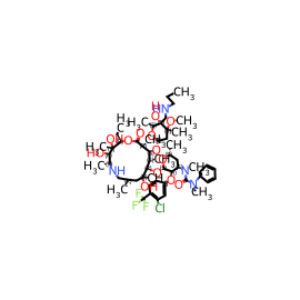 CCCNC[C@]1(O)[C@H](C)O[C@@H](O[C@H]2[C@H](C)[C@@H](O[C@@H]3O[C@H](C)C[C@H](N(C)C(=O)N(C)c4ccccc4)[C@H]3Oc3ccc(C(F)(F)F)c(Cl)c3)[C@](C)(O)C[C@@H](C)CN[C@H](C)[C@@H](O)[C@](C)(O)[C@@H](CC)OC(=O)[C@@H]2C)C[C@@]1(C)OC